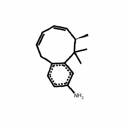 C[C@@H]1/C=C\C=C/Cc2ccc(N)cc2C1(C)C